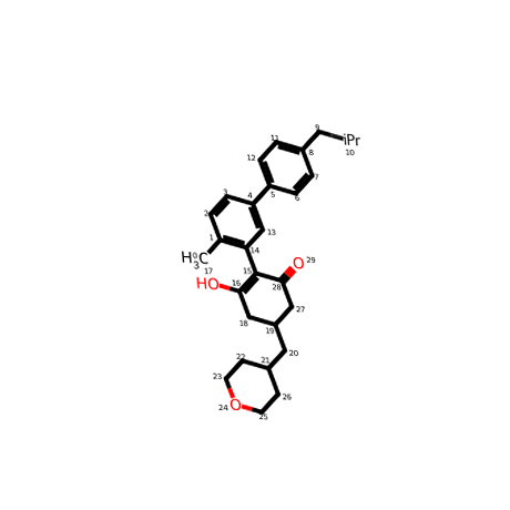 Cc1ccc(-c2ccc(CC(C)C)cc2)cc1C1=C(O)CC(CC2CCOCC2)CC1=O